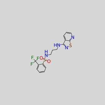 O=S(=O)(NCCCNc1nsc2ncccc12)c1ccccc1C(F)(F)F